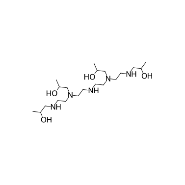 CC(O)CNCCN(CCNCCN(CCNCC(C)O)CC(C)O)CC(C)O